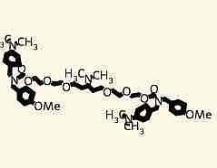 COc1ccc(CN(Cc2ccc(N(C)C)cc2)C(=O)OCCOCCOCCC(CCOCCOCCOC(=O)N(Cc2ccc(OC)cc2)Cc2ccc(N(C)C)cc2)N(C)C)cc1